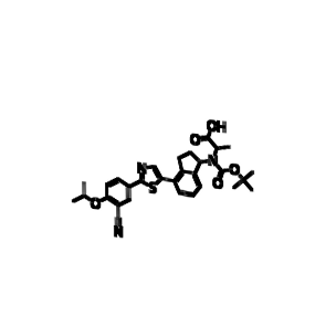 CC(C)Oc1ccc(-c2ncc(-c3cccc4c3CCC4N(C(=O)OC(C)(C)C)C(C)C(=O)O)s2)cc1C#N